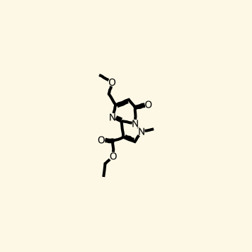 CCOC(=O)c1cn(C)n2c(=O)cc(COC)nc12